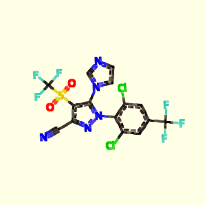 N#Cc1nn(-c2c(Cl)cc(C(F)(F)F)cc2Cl)c(-n2ccnc2)c1S(=O)(=O)C(F)(F)F